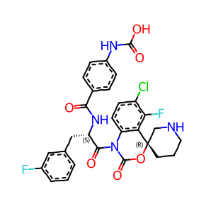 O=C(O)Nc1ccc(C(=O)N[C@@H](Cc2cccc(F)c2)C(=O)N2C(=O)O[C@]3(CCCNC3)c3c2ccc(Cl)c3F)cc1